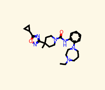 CCN1CCCN(c2ccccc2NC(=O)N2CCC(C)(c3noc(C4CC4)n3)CC2)CC1